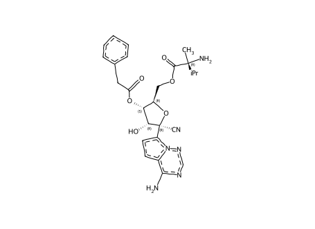 CC(C)[C@@](C)(N)C(=O)OC[C@H]1O[C@@](C#N)(c2ccc3c(N)ncnn23)[C@H](O)[C@@H]1OC(=O)Cc1ccccc1